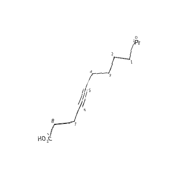 CC(C)CCCCC#CCCC(=O)O